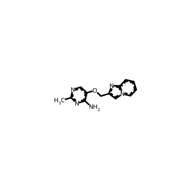 Cc1ncc(OCc2cn3ccccc3n2)c(N)n1